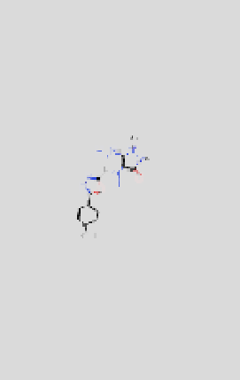 Cc1ccc(-c2nnc(CNc3c(N)n(C)n(C)c3=O)o2)cc1